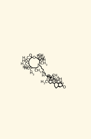 CC[C@H]1OC(=O)[C@H](C)[C@@H](O)[C@H](C)[C@@H](O)[C@](C)(O)C[C@@H](C)CN(CCCNCCC(=O)O[C@]2(C(=O)OC)[C@H](C)CC3C4CCC5=CC(=O)C=C[C@]5(C)[C@@]4(F)[C@@H](O)C[C@@]32C)[C@H](C)[C@@H](O)[C@]1(C)O